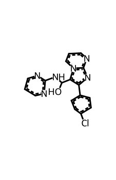 OC(Nc1ncccn1)c1c(-c2ccc(Cl)cc2)nc2ncccn12